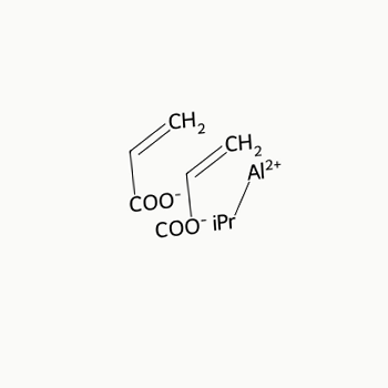 C=CC(=O)[O-].C=CC(=O)[O-].C[CH](C)[Al+2]